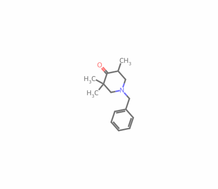 CC1CN(Cc2ccccc2)CC(C)(C)C1=O